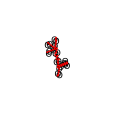 C=CC(=O)OCCCCOc1ccc(C=CC(=O)Oc2ccc(-c3ccc(OC(=O)C=Cc4ccc(OCCCCOC(=O)C=C)c(OCCCCOC(=O)C=C)c4OCCCCOC(=O)C=C)cc3)cc2)c(OCCCCOC(=O)C=C)c1OCCCCOC(=O)C=C